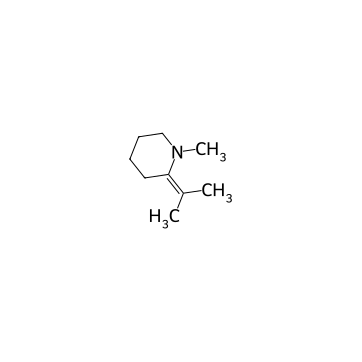 CC(C)=C1CCCCN1C